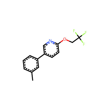 Cc1cccc(-c2ccc(OCC(F)(F)F)nc2)c1